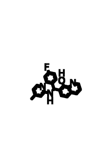 Cc1ccnc(NC(c2ccc(F)cc2)c2ccc3cccnc3c2O)c1